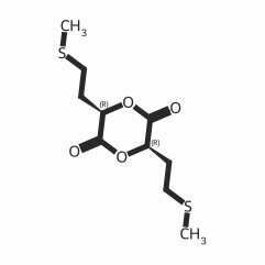 CSCC[C@H]1OC(=O)[C@@H](CCSC)OC1=O